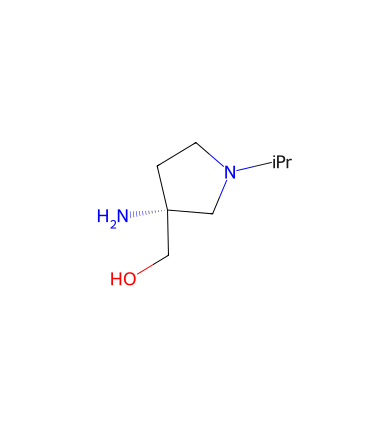 CC(C)N1CC[C@](N)(CO)C1